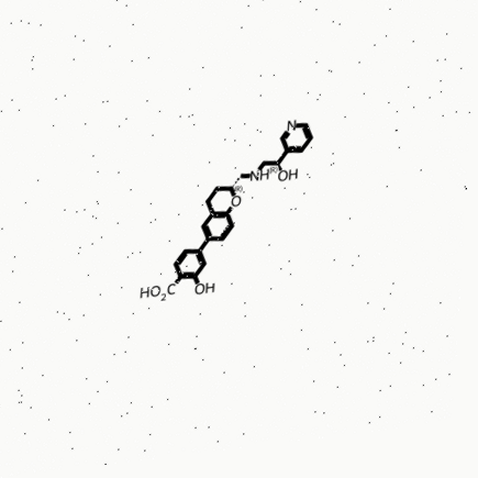 O=C(O)c1ccc(-c2ccc3c(c2)CC[C@H](CNC[C@H](O)c2cccnc2)O3)cc1O